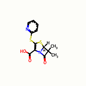 CC1(C)C(=O)N2C(C(=O)O)=C(Sc3ccccn3)S[C@@H]21